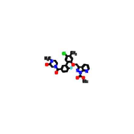 Cc1cc(OCc2nn(C(=O)OC(C)(C)C)c3ncccc23)c(-c2cc(C(=O)N3CCN(C)C(=O)C3)ccc2F)cc1Cl